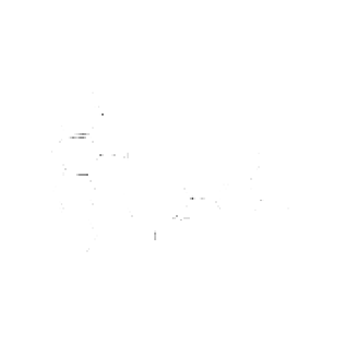 CCc1ccc2nc(C)c(C(=O)O)c(N)c2c1OCC(C)(C)NC(=O)c1ccc(OC)c(OC)c1